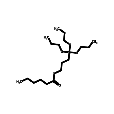 CCCCCC(=O)SCCC[Si](OCCC)(OCCC)OCCC